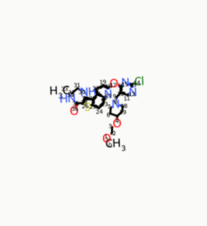 COCCOC1CCN(Cc2cnc(Cl)nc2Oc2ccc3c(ccc4sc5c(c43)NC[C@@H](C)NC5=O)n2)CC1